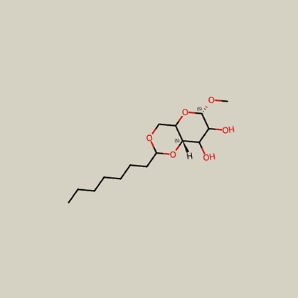 CCCCCCCC1OCC2O[C@H](OC)C(O)C(O)[C@@H]2O1